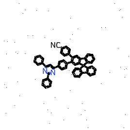 N#Cc1ccc(-c2cc3c(cc2-c2ccc(-c4cc(-c5ccccc5)nc(-c5ccccc5)n4)cc2)C2(c4ccccc4-c4ccccc42)c2ccccc2-3)cc1